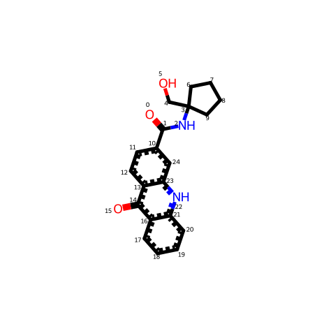 O=C(NC1(CO)CCCC1)c1ccc2c(=O)c3ccccc3[nH]c2c1